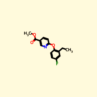 CCc1cc(F)ccc1Oc1ccc(C(=O)OC)cn1